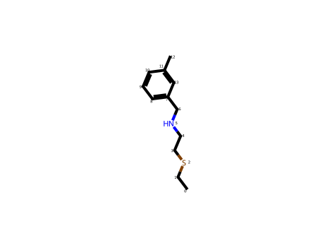 CCSCCNCc1cccc(C)c1